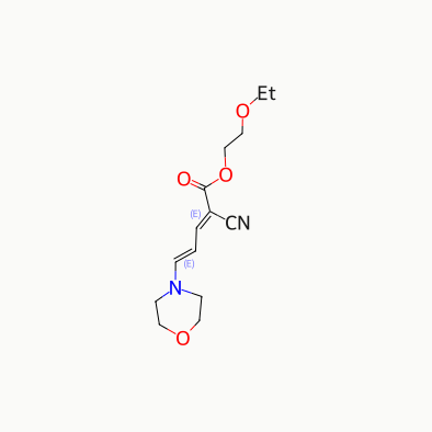 CCOCCOC(=O)/C(C#N)=C/C=C/N1CCOCC1